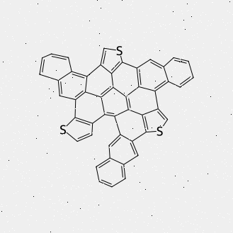 c1ccc2cc3c(cc2c1)c1scc2c4c5ccccc5cc5c6scc7c8c9ccccc9cc9c%10sccc%10c%10c3c(c21)c(c54)c(c76)c%10c98